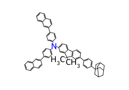 CC1(C)c2cc(-c3ccc(C45CC6CC(CC(C6)C4)C5)cc3)ccc2-c2ccc(N(c3ccc(-c4ccc5ccccc5c4)cc3)c3ccc(-c4ccc5ccccc5c4)cc3)cc21